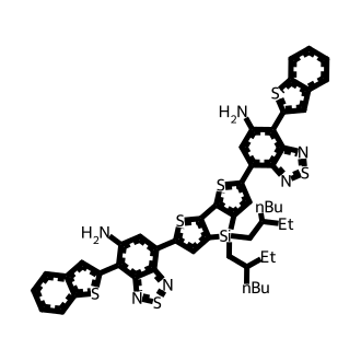 CCCCC(CC)C[Si]1(CC(CC)CCCC)c2cc(-c3cc(N)c(-c4cc5ccccc5s4)c4nsnc34)sc2-c2sc(-c3cc(N)c(-c4cc5ccccc5s4)c4nsnc34)cc21